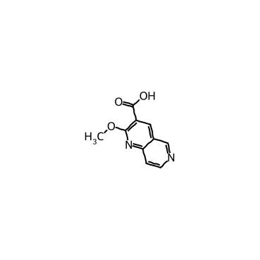 COc1nc2ccncc2cc1C(=O)O